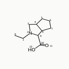 CCN1CC2CCCC2C1C(=O)O